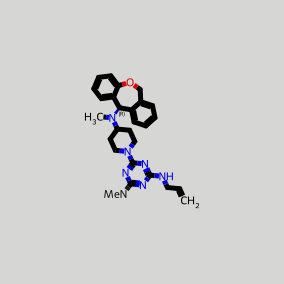 C=CCNc1nc(NC)nc(N2CCC(N(C)[C@@H]3c4ccccc4COc4ccccc43)CC2)n1